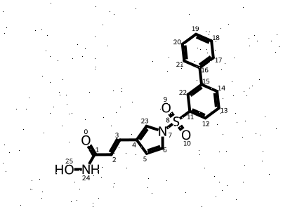 O=C(/C=C/c1ccn(S(=O)(=O)c2cccc(-c3ccccc3)c2)c1)NO